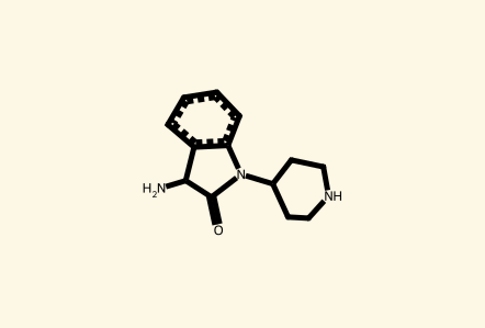 NC1C(=O)N(C2CCNCC2)c2ccccc21